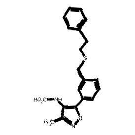 Cc1noc(-c2cccc(CSCCc3ccccc3)c2)c1NC(=O)O